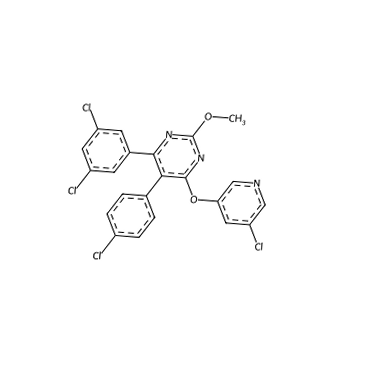 COc1nc(Oc2cncc(Cl)c2)c(-c2ccc(Cl)cc2)c(-c2cc(Cl)cc(Cl)c2)n1